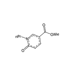 CCCn1cc(C(=O)OC)ccc1=O